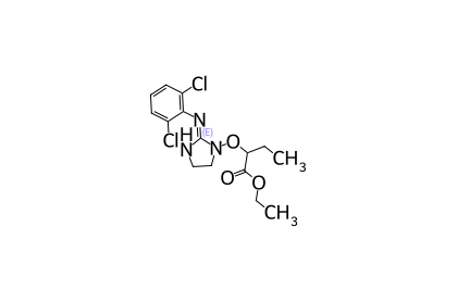 CCOC(=O)C(CC)ON1CCN/C1=N\c1c(Cl)cccc1Cl